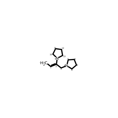 [CH2]C=C(CN1CCCC1)N1CCCC1